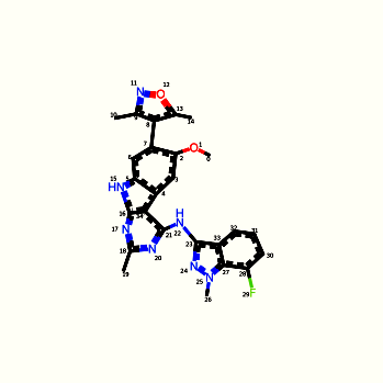 COc1cc2c(cc1-c1c(C)noc1C)[nH]c1nc(C)nc(Nc3nn(C)c4c(F)cccc34)c12